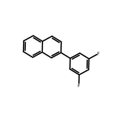 Fc1cc(F)cc(-c2ccc3ccccc3c2)c1